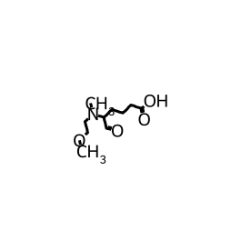 COCCN(C)C(C=O)CCCC(=O)O